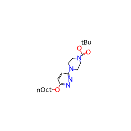 CCCCCCCCOc1ccc(N2CCN(C(=O)OC(C)(C)C)CC2)nn1